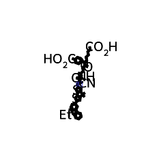 CCn1c2ccccc2c2cc(-c3cc4c(s3)-c3sc(/C=C(\C#N)C(=O)NCCCC(=O)N(CCCCCC(=O)O)c5ccc(C(=O)O)cc5)cc3C4(C)C)ccc21